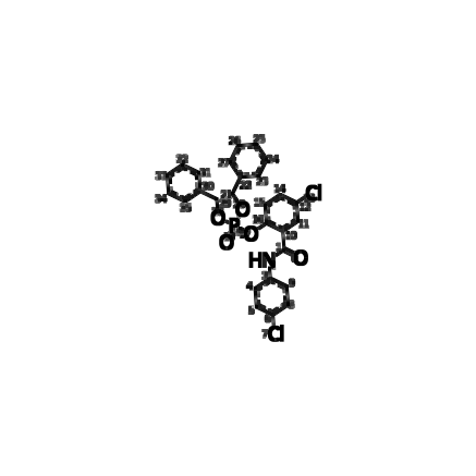 O=C(Nc1ccc(Cl)cc1)c1cc(Cl)ccc1OP(=O)(OCc1ccccc1)OCc1ccccc1